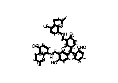 Cc1ccc2c(Cl)ccc(NCc3c4oc5c(CNc6ccc(Cl)c7ccc(C)nc67)c(O)ccc5c(-c5ccccc5C=O)c-4ccc3=O)c2n1